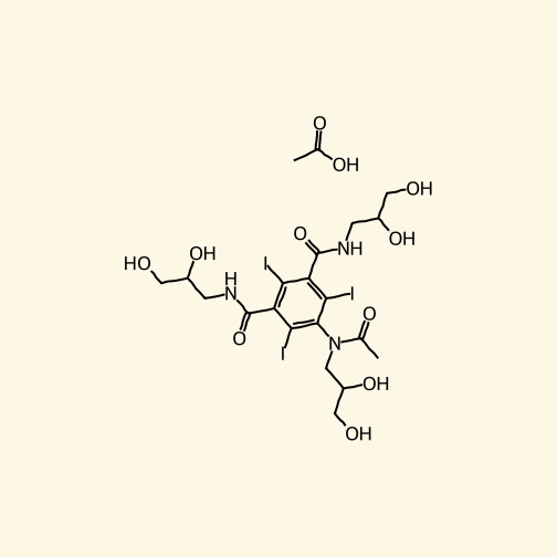 CC(=O)N(CC(O)CO)c1c(I)c(C(=O)NCC(O)CO)c(I)c(C(=O)NCC(O)CO)c1I.CC(=O)O